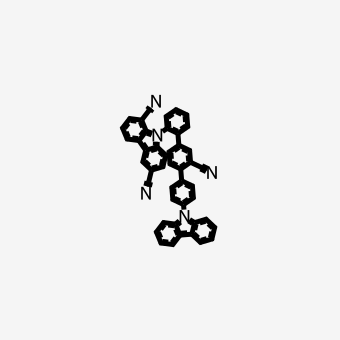 N#Cc1ccc2c(c1)c1cccc(C#N)c1n2-c1ccccc1-c1ccc(-c2ccc(-n3c4ccccc4c4ccccc43)cc2)c(C#N)c1